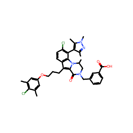 Cc1cc(OCCCc2c3n(c4c(-c5c(C)nn(C)c5C)c(Cl)ccc24)C(C)CN(Cc2cccc(C(=O)O)c2)C3=O)cc(C)c1Cl